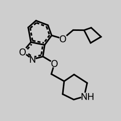 c1cc(OCC2CCC2)c2c(OCC3CCNCC3)noc2c1